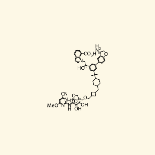 COc1cc(C#N)nc(N[C@H]2[C@H]3OC[C@](COCC4CC(CC5CCC(C(C)(C)c6cc(-c7ccc8c(c7)[C@H](N)CO8)cc([C@H](O)Cn7ccc8cccc(C(=O)O)c87)c6)CC5)C4)(O3)[C@H](O)[C@@H]2O)n1